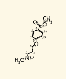 CNCCCOc1ccc(C(=O)OC)cc1